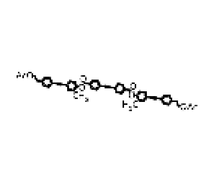 CC(=O)OCCc1ccc(C#Cc2ccc(OC(=O)c3ccc(C#Cc4ccc(C(=O)Oc5ccc(C#Cc6ccc(CCOC(C)=O)cc6)cc5C)cc4)cc3)c(C)c2)cc1